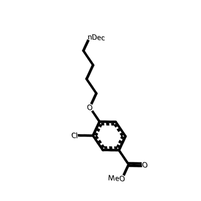 CCCCCCCCCCCCCCOc1ccc(C(=O)OC)cc1Cl